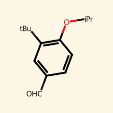 CC(C)Oc1ccc(C=O)cc1C(C)(C)C